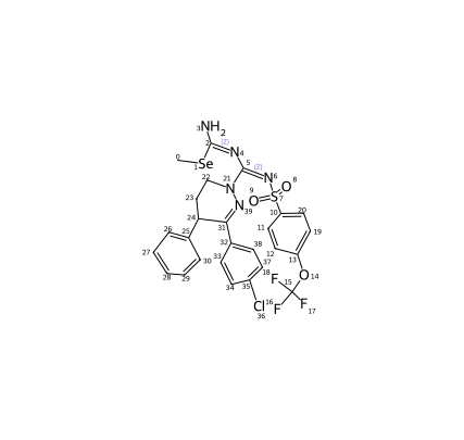 C[Se]/C(N)=N\C(=N\S(=O)(=O)c1ccc(OC(F)(F)F)cc1)N1CCC(c2ccccc2)C(c2ccc(Cl)cc2)=N1